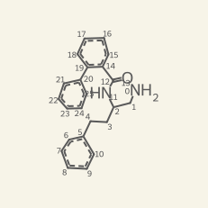 NCC(CCc1ccccc1)NC(=O)c1ccccc1-c1ccccc1